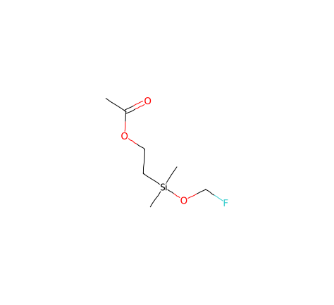 CC(=O)OCC[Si](C)(C)OCF